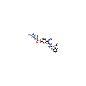 CCOc1ccccc1CCC(=O)Nc1sc2c(c1C#N)CCC(COC(=O)NCc1cn(C)cn1)C2